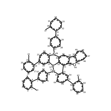 Cc1ccccc1-c1ccc(N2B3c4cc(-c5ccccc5C)ccc4N(c4ccc(-c5ccccc5C)cc4)c4cc5c(oc6ccccc65)c(c43)-c3cc(-c4ccccc4C)ccc32)cc1